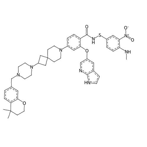 CNc1ccc(SNC(=O)c2ccc(N3CCC4(CC3)CC(N3CCN(Cc5ccc6c(c5)OCCC6(C)C)CC3)C4)cc2Oc2cnc3[nH]ccc3c2)cc1[N+](=O)[O-]